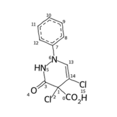 O=C(O)C1(Cl)C(=O)NN(c2ccccc2)C=C1Cl